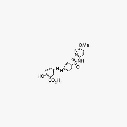 COc1ccc(NS(=O)(=O)c2ccc(N=Nc3ccc(O)c(C(=O)O)c3)cc2)nn1